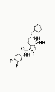 Cn1cc2c(c1C(=O)Nc1ccc(F)c(F)c1)C=C[C@H](Cc1ccccc1)NS2=N